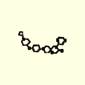 O=C1COC2(CCN(c3ccc(OC4CCN(C5CCC5)CC4)cc3)CC2)CN1c1cnccn1